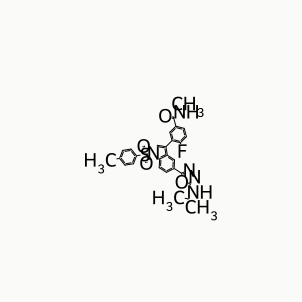 CNC(=O)c1ccc(F)c(-c2cn(S(=O)(=O)c3ccc(C)cc3)c3ccc(-c4nnc(NC(C)C)o4)cc23)c1